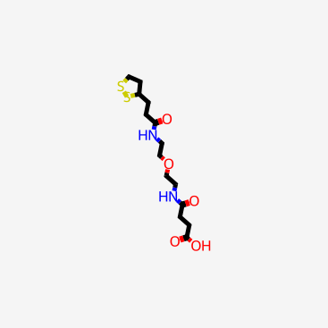 O=C(O)CCC(=O)NCCOCCNC(=O)CCC1CCSS1